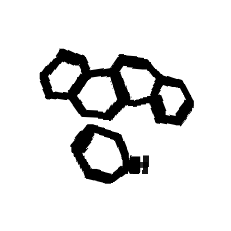 C1=CC2=C(CC1)CCc1c2ccc2ccccc12.C1=CCNC=C1